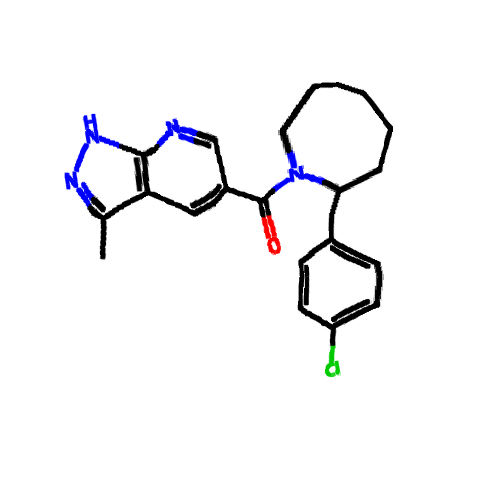 Cc1n[nH]c2ncc(C(=O)N3CCCCCC3c3ccc(Cl)cc3)cc12